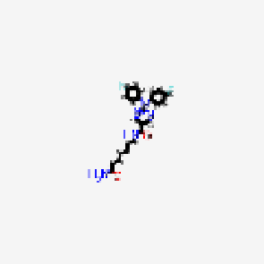 NC(=O)CCCCCCNC(=O)c1cnc(N(c2ccc(F)cc2)c2ccc(F)cc2)nc1